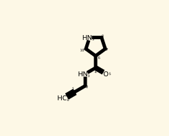 C#CCNC(=O)C1CCNC1